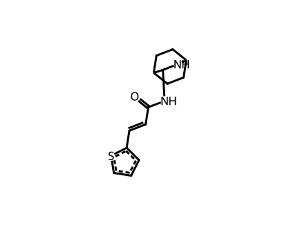 O=C(/C=C/c1cccs1)NC1NC2CCC1CC2